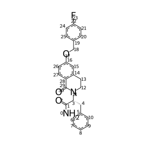 NC(=O)[C@@H](Cc1ccccc1)N1CCc2cc(OCc3ccc(F)cc3)ccc2C1=O